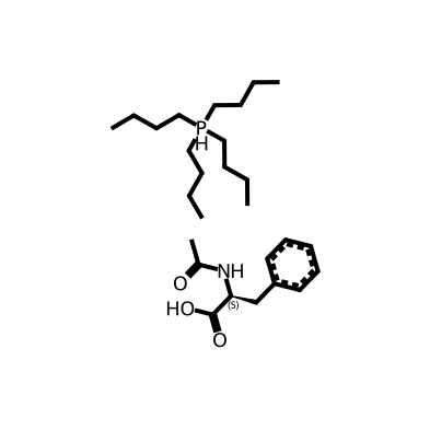 CC(=O)N[C@@H](Cc1ccccc1)C(=O)O.CCCC[PH](CCCC)(CCCC)CCCC